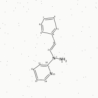 NN(C=Cc1ccccc1)c1ccccn1